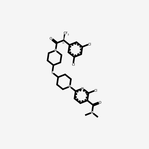 CN(C)C(=O)c1ccc(N2CCC(SC3CCN(C(=O)[C@H](c4cc(Cl)cc(Cl)c4)C(F)(F)F)CC3)CC2)nc1Cl